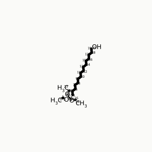 CCO[Si](CCCCCCCCCCCCCCCCO)(OCC)OCC